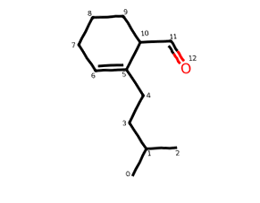 CC(C)CCC1=CCCCC1C=O